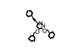 C(#Cc1cc(OCc2ccccc2)c(OCc2ccccc2)nn1)c1ccccc1